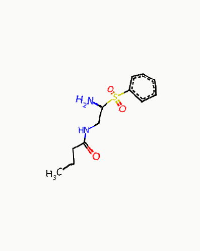 CCCC(=O)NCC(N)S(=O)(=O)c1ccccc1